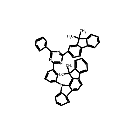 CC1(C)c2ccccc2-c2ccc(-c3nc(-c4ccccc4)nc(-c4cccc(-n5c6ccccc6c6ccc7c(c65)C(C)(C)c5ccccc5-7)c4)n3)cc21